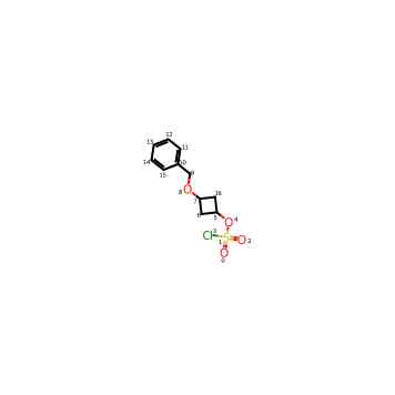 O=S(=O)(Cl)OC1CC(OCc2ccccc2)C1